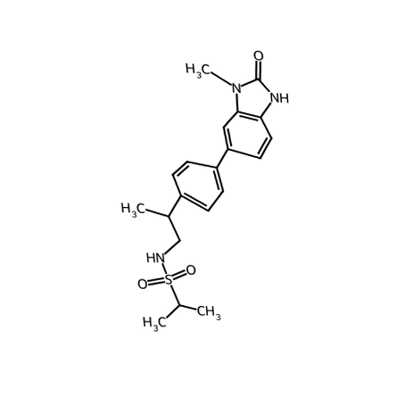 CC(CNS(=O)(=O)C(C)C)c1ccc(-c2ccc3[nH]c(=O)n(C)c3c2)cc1